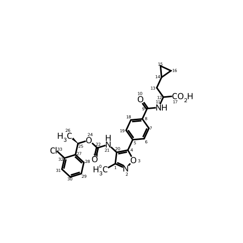 Cc1noc(-c2ccc(C(=O)NC(CC3CC3)C(=O)O)cc2)c1NC(=O)O[C@H](C)c1ccccc1Cl